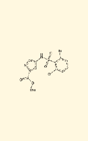 CC(C)(C)OC(=O)n1cc(NS(=O)(=O)c2c(Cl)cccc2Br)cn1